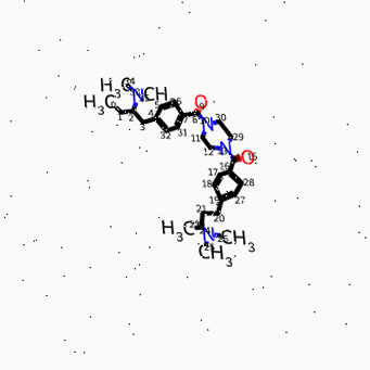 CCC(Cc1ccc(C(=O)N2CCN(C(=O)c3ccc(CCC(C)N(C)C)cc3)CC2)cc1)N(C)C